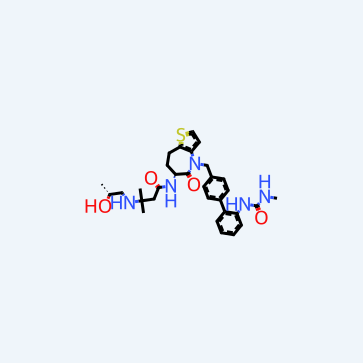 CNC(=O)Nc1ccccc1-c1ccc(CN2C(=O)[C@H](NC(=O)CC(C)(C)NC[C@@H](C)O)CCc3sccc32)cc1